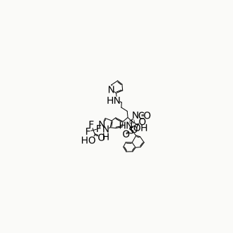 O=C(O)C(F)(F)F.O=C=N[C@@](NS(=O)(=O)c1cccc2ccccc12)(C(=O)O)C(CCCNc1ccccn1)c1ccc2[nH]ncc2c1